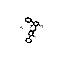 Cl.O=C1C(Cc2c(Cl)ccc(-c3cccnc3)c2Cl)CCN1C1CCCCC1